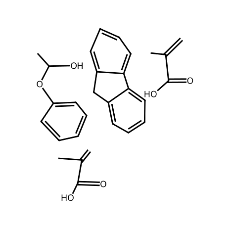 C=C(C)C(=O)O.C=C(C)C(=O)O.CC(O)Oc1ccccc1.c1ccc2c(c1)Cc1ccccc1-2